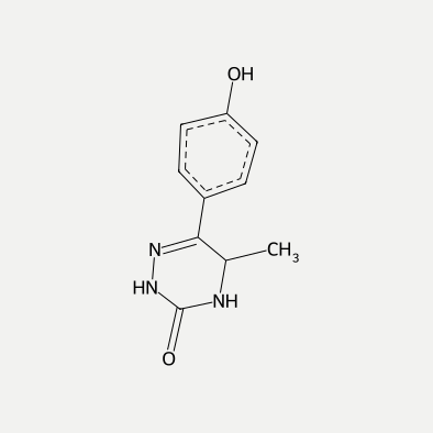 CC1NC(=O)NN=C1c1ccc(O)cc1